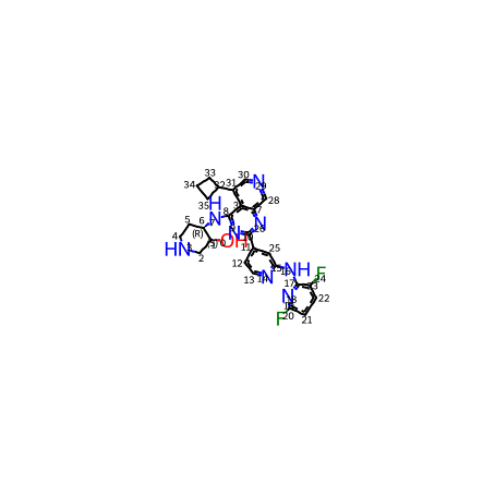 O[C@H]1CNCC[C@H]1Nc1nc(-c2ccnc(Nc3nc(F)ccc3F)c2)nc2cncc(C3CCC3)c12